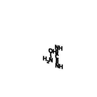 N=C=N.NO